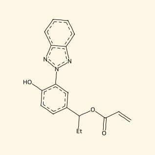 C=CC(=O)OC(CC)c1ccc(O)c(-n2nc3ccccc3n2)c1